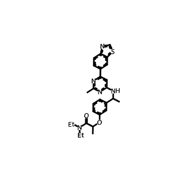 CCN(CC)C(=O)C(C)Oc1cccc(C(C)Nc2cc(-c3ccc4ncsc4c3)nc(C)n2)c1